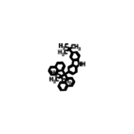 CC(C)(C)c1ccc2[nH]c3ccc(C(c4cccc5ccccc45)(c4cccc5ccccc45)C(C)(C)C)cc3c2c1